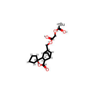 CC(C)(C)C(=O)OCC(=O)OCC1CC2CC1C1C2C(=O)OC12CCCC2